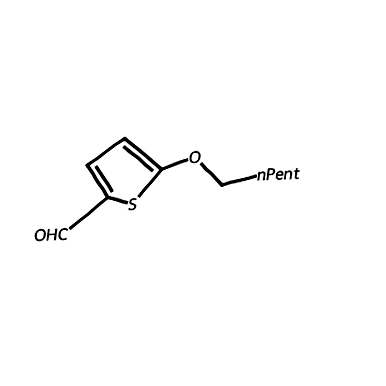 CCCCCCOc1ccc(C=O)s1